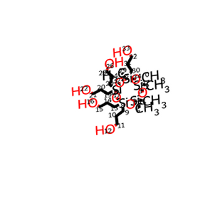 C[Si]1(C)O[Si](C)(C)O[Si](CCCO)(CCCO)O[Si](CCCO)(CCCO)O[Si](C)(CCCO)O1